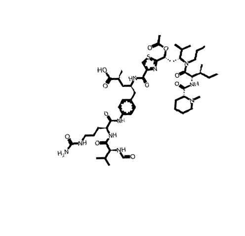 CCCN(C(=O)[C@@H](NC(=O)[C@H]1CCCCN1C)[C@@H](C)CC)[C@H](C[C@@H](OC(C)=O)c1nc(C(=O)N[C@@H](Cc2ccc(NC(=O)[C@H](CCCNC(N)=O)NC(=O)[C@@H](NC=O)C(C)C)cc2)C[C@H](C)C(=O)O)cs1)C(C)C